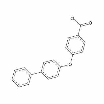 O=C(Cl)c1ccc(Oc2ccc(-c3ccccc3)cc2)cc1